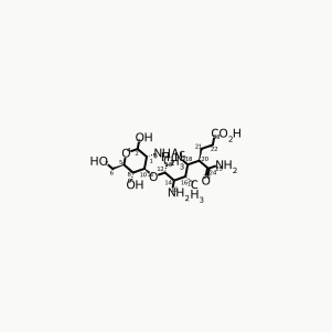 CC(=O)N[C@H]1C(O)O[C@H](CO)[C@@H](O)[C@@H]1O[C@H](C)C(N)[C@@H](C)C(N)[C@@H](CCC(=O)O)C(N)=O